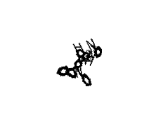 Nc1ccccc1N1C2c3cccc4c5cc6c7c8ccccc8ccc7n(-c7ccccc7)c6cc5n(c34)[C@H]21